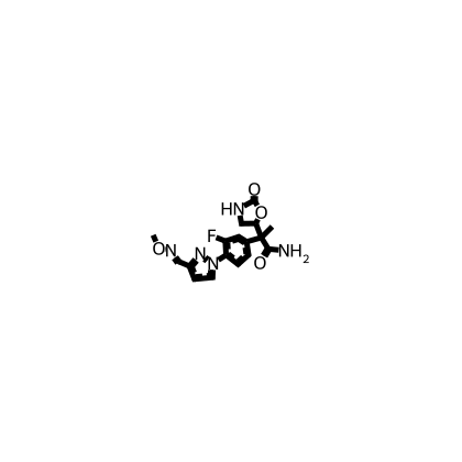 CON=Cc1ccn(-c2ccc(C(C)(C(N)=O)C3CNC(=O)O3)cc2F)n1